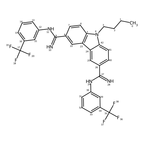 CCCCn1c2ccc(C(=N)Nc3cccc(C(F)(F)F)c3)cc2c2cc(C(=N)Nc3cccc(C(F)(F)F)c3)ccc21